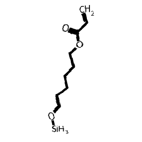 C=CC(=O)OCCCCCCO[SiH3]